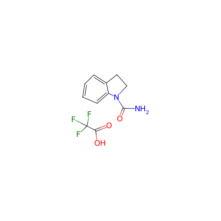 NC(=O)N1CCc2ccccc21.O=C(O)C(F)(F)F